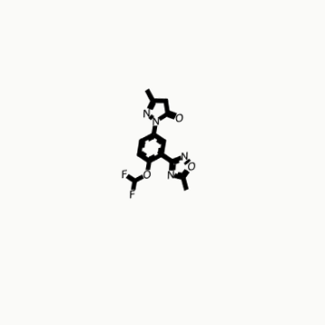 CC1=NN(c2ccc(OC(F)F)c(-c3noc(C)n3)c2)C(=O)C1